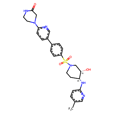 O=C1CN(c2ccc(-c3ccc(S(=O)(=O)N4CC[C@@H](Nc5ccc(C(F)(F)F)cn5)[C@@H](O)C4)cc3)cn2)CCN1